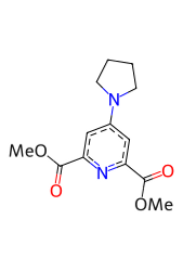 COC(=O)c1cc(N2CCCC2)cc(C(=O)OC)n1